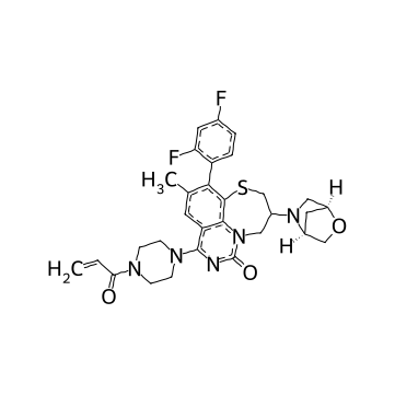 C=CC(=O)N1CCN(c2nc(=O)n3c4c(c(-c5ccc(F)cc5F)c(C)cc24)SCC(N2C[C@@H]4C[C@H]2CO4)C3)CC1